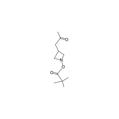 CC(=O)CC1CN(OC(=O)C(C)(C)C)C1